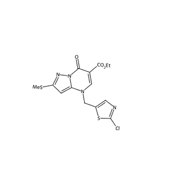 CCOC(=O)c1cn(Cc2cnc(Cl)s2)c2cc(SC)nn2c1=O